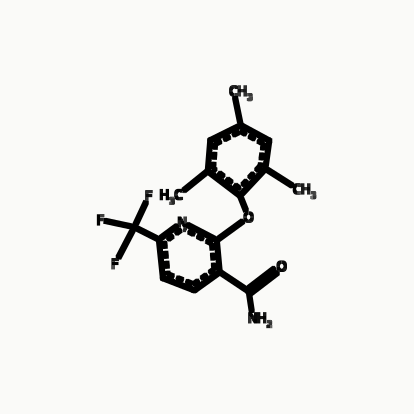 Cc1cc(C)c(Oc2nc(C(F)(F)F)ccc2C(N)=O)c(C)c1